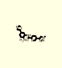 Cn1cc(-c2ccc(C(=O)Nc3cc(-c4cncs4)ccc3N)nc2)nn1